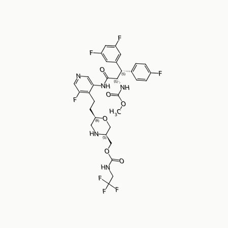 COC(=O)N[C@H](C(=O)Nc1cncc(F)c1CC[C@@H]1CN[C@H](COC(=O)NCC(F)(F)F)CO1)[C@@H](c1ccc(F)cc1)c1cc(F)cc(F)c1